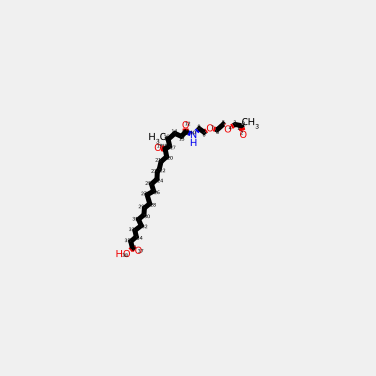 CC(=O)COCCOCCNC(=O)CC[C@@H](C)CC(=O)CCCCCCCCCCCCCCCCC(=O)O